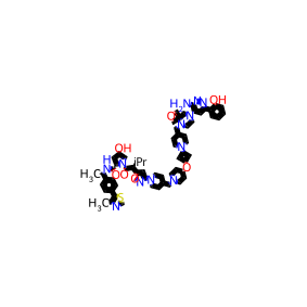 Cc1ncsc1-c1ccc([C@H](C)NC(=O)[C@@H]2C[C@@H](O)CN2C(=O)[C@@H](c2cc(N3CCC(CN4CCC(OC5CC(N6CCC(CN7CCN(c8cc(-c9ccccc9O)nnc8N)CC78COC8)CC6)C5)CC4)CC3)no2)C(C)C)cc1